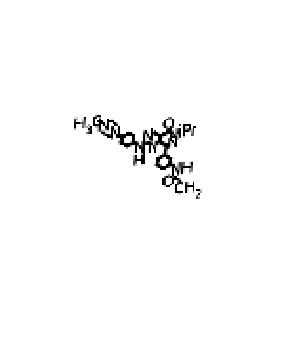 C=CC(=O)Nc1cccc(-c2nn(C(C)C)c(=O)c3cnc(Nc4ccc(N5CCN(C)CC5)cc4)nc23)c1